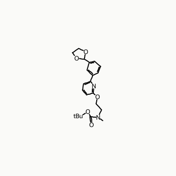 CN(CCOc1cccc(-c2cccc(C3OCCO3)c2)n1)C(=O)OC(C)(C)C